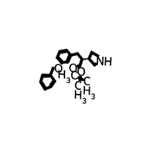 CC(C)(C)OC(=O)C(Cc1cccc(OCc2ccccc2)c1)[C@H]1CCNC1